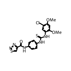 COc1cc(OC)c(NC(=S)Nc2ccc(NC(=O)c3csnn3)cc2)cc1Cl